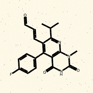 CC(C)c1nc2c(c(-c3ccc(F)cc3)c1C=CC=O)c(=O)[nH]c(=O)n2C